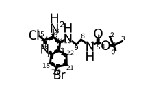 CC(C)(C)OC(=O)NCCNc1c(N)c(Cl)nc2cc(Br)ccc12